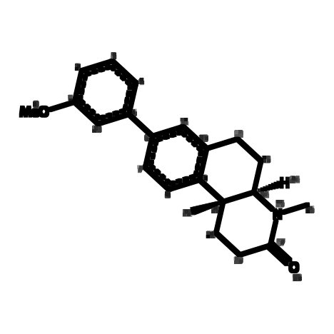 COc1cccc(-c2ccc3c(c2)CC[C@H]2N(C)C(=O)CC[C@]32C)c1